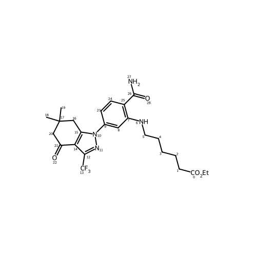 CCOC(=O)CCCCCNc1cc(-n2nc(C(F)(F)F)c3c2CC(C)(C)CC3=O)ccc1C(N)=O